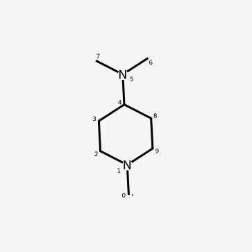 [CH2]N1CCC(N(C)C)CC1